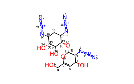 [N-]=[N+]=NC1C(O)C=C(CO)O[C@@H]1O[C@@H]1C(N=[N+]=[N-])CC(N=[N+]=[N-])[C@@H](O)C1O